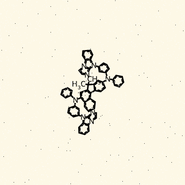 CC1(C)c2cc(N(c3ccccc3)c3cccc(-n4c5ccccc5n5ccnc45)c3)ccc2-c2c1cc(N(c1ccccc1)c1cccc(-n3c4ccccc4n4ccnc34)c1)c1ccccc21